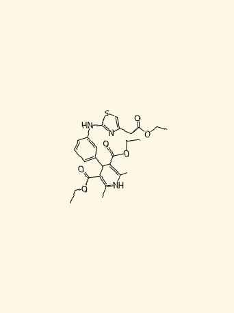 CCOC(=O)Cc1csc(Nc2cccc(C3C(C(=O)OCC)=C(C)NC(C)=C3C(=O)OCC)c2)n1